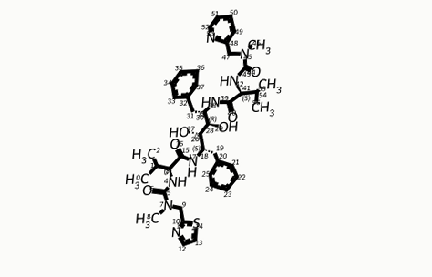 CC(C)[C@H](NC(=O)N(C)Cc1nccs1)C(=O)N[C@@H](Cc1ccccc1)[C@H](O)[C@H](O)[C@H](Cc1ccccc1)NC(=O)[C@@H](NC(=O)N(C)Cc1ccccn1)C(C)C